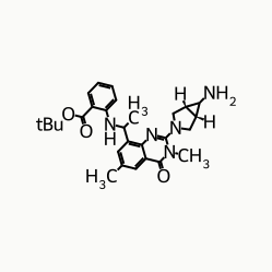 Cc1cc(C(C)Nc2ccccc2C(=O)OC(C)(C)C)c2nc(N3C[C@@H]4C(N)[C@@H]4C3)n(C)c(=O)c2c1